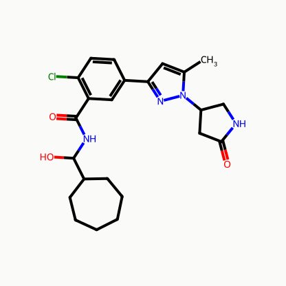 Cc1cc(-c2ccc(Cl)c(C(=O)NC(O)C3CCCCCC3)c2)nn1C1CNC(=O)C1